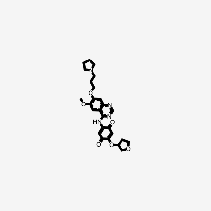 COc1cc2c(NC3=CC(=O)C(OC4CCOC4)=CC3=O)ncnc2cc1OCCCN1CCCC1